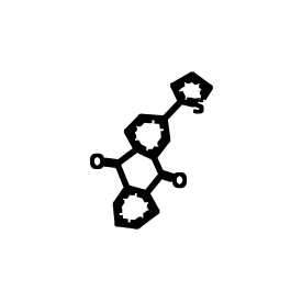 O=C1c2ccccc2C(=O)c2cc(-c3cccs3)ccc21